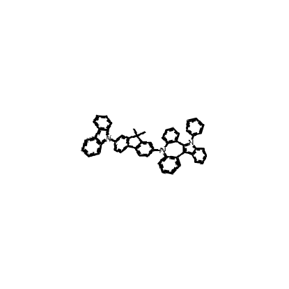 CC1(C)c2cc(N3c4ccccc4-c4c(n(-c5ccccc5)c5ccccc45)-c4ccccc43)ccc2-c2ccc(-n3c4ccccc4c4ccccc43)cc21